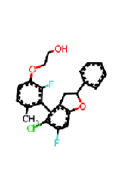 Cc1ccc(OCCO)c(F)c1-c1c(Cl)c(F)cc2c1CC(c1ccccc1)O2